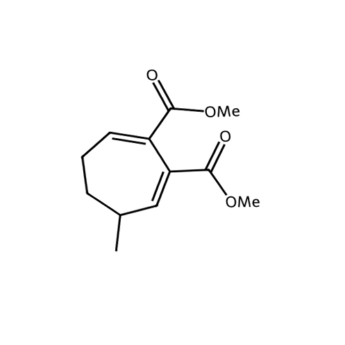 COC(=O)C1=CCCC(C)C=C1C(=O)OC